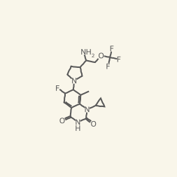 CC1=c2c(c(=O)[nH]c(=O)n2C2CC2)=CC(F)C1N1CCC(C(N)COC(F)(F)F)C1